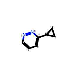 c1cnnc(C2CC2)c1